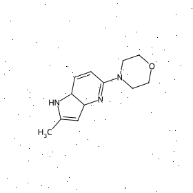 CC1=CC2N=C(N3CCOCC3)C=CC2N1